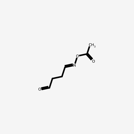 CC(=O)O/N=C/CCC=O